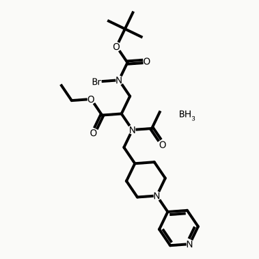 B.CCOC(=O)C(CN(Br)C(=O)OC(C)(C)C)N(CC1CCN(c2ccncc2)CC1)C(C)=O